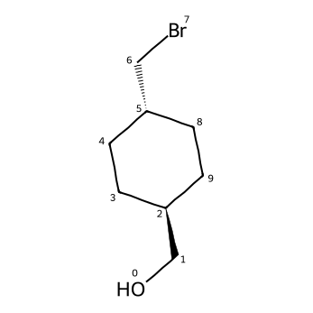 OC[C@H]1CC[C@H](CBr)CC1